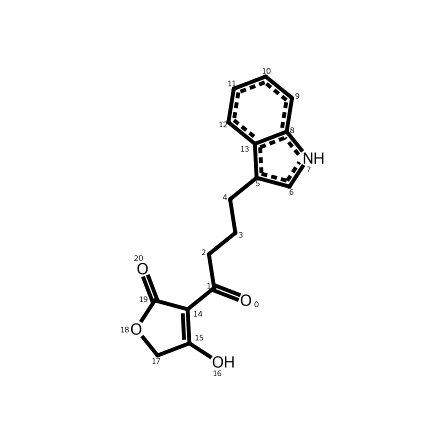 O=C(CCCc1c[nH]c2ccccc12)C1=C(O)COC1=O